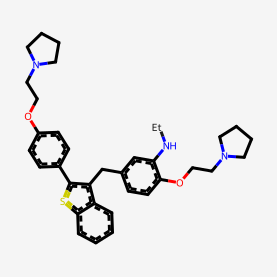 CCNc1cc(Cc2c(-c3ccc(OCCN4CCCC4)cc3)sc3ccccc23)ccc1OCCN1CCCC1